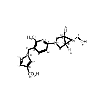 Cc1nc(N2C[C@@H]3[C@H](CO)[C@@H]3C2)ccc1Cn1cc(C(=O)O)cn1